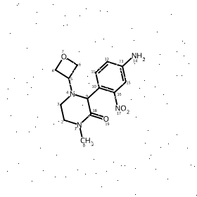 CN1CCN(C2COC2)C(c2ccc(N)cc2[N+](=O)[O-])C1=O